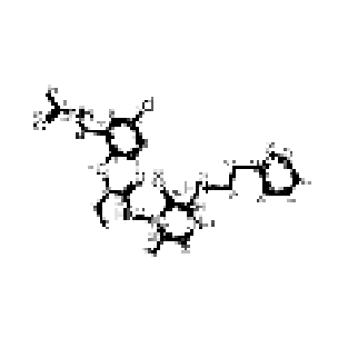 CCC(Oc1ccc(Cl)cc1CNC(C)=O)C(=O)Nn1c(C)cnc(NCCc2ccccn2)c1=O